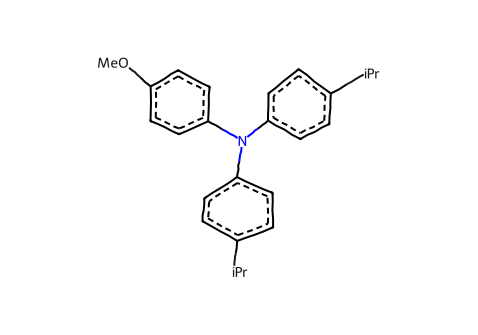 COc1ccc(N(c2ccc(C(C)C)cc2)c2ccc(C(C)C)cc2)cc1